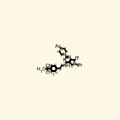 CC(=O)N1CCN(c2nc(NCCc3ccc(C(C)(C)C#N)cc3)c3c(n2)C(=O)N(C(C)C)C3)CC1